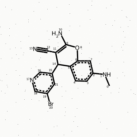 CNc1ccc2c(c1)OC(N)=C(C#N)C2c1cncc(Br)c1